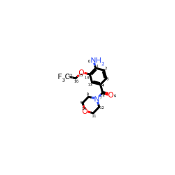 Nc1ccc(C(=O)N2CCOCC2)cc1OCC(F)(F)F